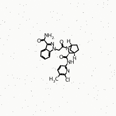 Cc1ccc(NC(=O)[C@@H]2[C@H]3CC[C@H](C3)N2C(=O)Cn2nc(C(N)=O)c3ccccc32)nc1Cl